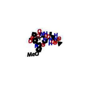 C=C[C@@H]1C[C@]1(NC(=O)[C@@H]1C[C@@H](Oc2cc(-c3ccc4c(c3)OCO4)nc3cc(OC)ccc23)CN1C(=O)[C@@H](NC(=O)OC1CCCC1)C(C)C)C(=O)NS(=O)(=O)C1CC1